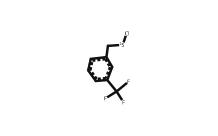 FC(F)(F)c1cccc(C[1S]Cl)c1